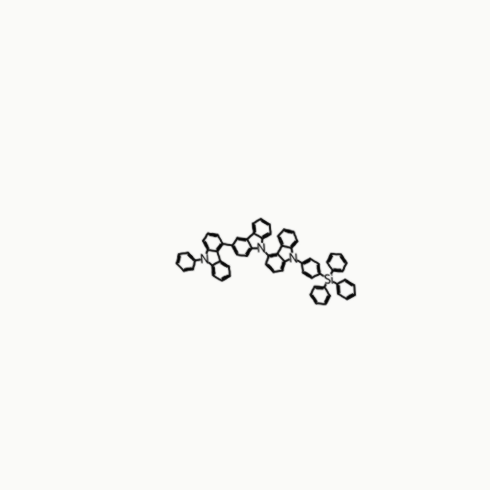 c1ccc(-n2c3ccccc3c3c(-c4ccc5c(c4)c4ccccc4n5-c4cccc5c4c4ccccc4n5-c4ccc([Si](c5ccccc5)(c5ccccc5)c5ccccc5)cc4)cccc32)cc1